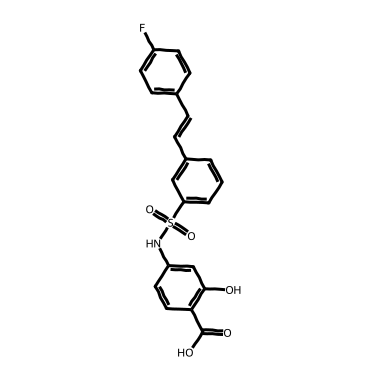 O=C(O)c1ccc(NS(=O)(=O)c2cccc(C=Cc3ccc(F)cc3)c2)cc1O